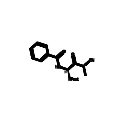 CCCCC[C@H](NC(=O)c1ccccc1)C(=O)N(C)C#N